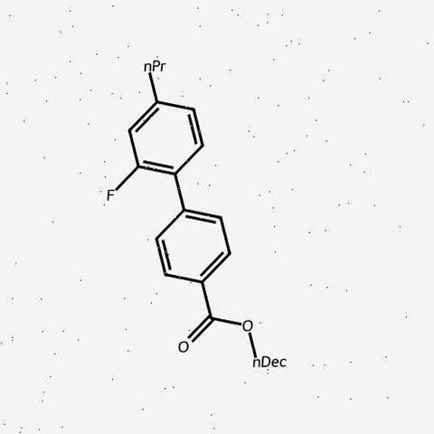 CCCCCCCCCCOC(=O)c1ccc(-c2ccc(CCC)cc2F)cc1